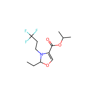 CCC1OC=C(C(=O)OC(C)C)N1CCC(F)(F)F